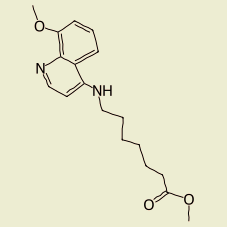 COC(=O)CCCCCCNc1ccnc2c(OC)cccc12